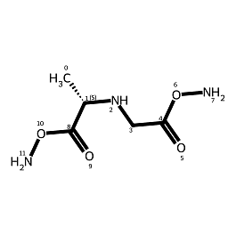 C[C@H](NCC(=O)ON)C(=O)ON